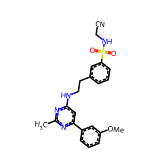 COc1cccc(-c2cc(NCCc3cccc(S(=O)(=O)NCC#N)c3)nc(C)n2)c1